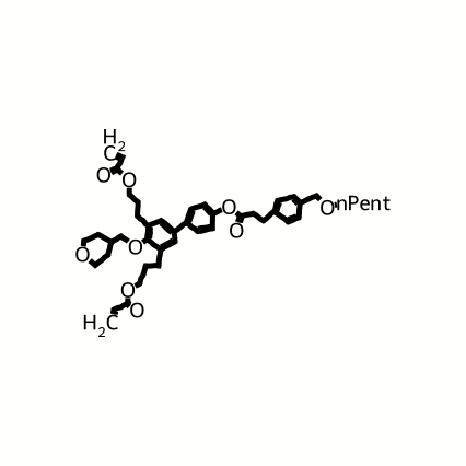 C=CC(=O)OCCCc1cc(-c2ccc(OC(=O)CCc3ccc(COCCCCC)cc3)cc2)cc(CCCOC(=O)C=C)c1OCC1CCOCC1